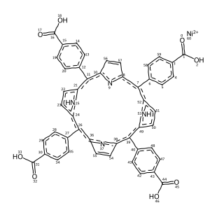 O=C(O)c1ccc(-c2c3nc(c(-c4ccc(C(=O)O)cc4)c4ccc([nH]4)c(-c4ccc(C(=O)O)cc4)c4nc(c(-c5ccc(C(=O)O)cc5)c5ccc2[nH]5)C=C4)C=C3)cc1.[Ni+2]